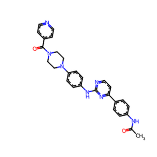 CC(=O)Nc1ccc(-c2ccnc(Nc3ccc(N4CCN(C(=O)c5ccncc5)CC4)cc3)n2)cc1